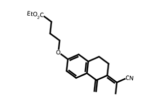 C=C1/C(=C(\C)C#N)CCc2cc(OCCCC(=O)OCC)ccc21